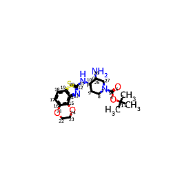 CC(C)(C)OC(=O)N1CC[C@@H](Nc2nc3c4c(ccc3s2)OCCO4)[C@@H](N)C1